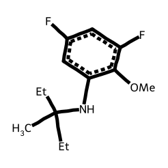 CCC(C)(CC)Nc1cc(F)cc(F)c1OC